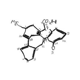 Cc1cc(CC(=O)O)c(Nc2c(F)cccc2Cl)c(-c2ccccc2CO)c1